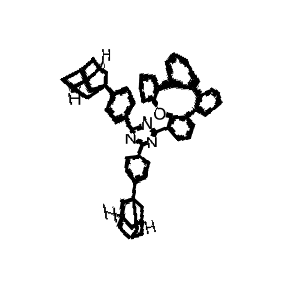 c1ccc2c(c1)oc1c(-c3nc(-c4ccc(C56C[C@H]7CC8C[C@@H](C5)C87C6)cc4)nc(-c4ccc(C56CC7C[C@H](C5)C[C@@H](C7)C6)cc4)n3)cccc1c1ccccc1c1ccccc21